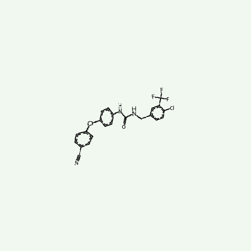 N#Cc1ccc(Oc2ccc(NC(=O)NCc3ccc(Cl)c(C(F)(F)F)c3)cc2)cc1